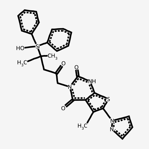 Cc1c(-n2cccn2)sc2[nH]c(=O)n(CC(=O)CC(C)(C)[Si](O)(c3ccccc3)c3ccccc3)c(=O)c12